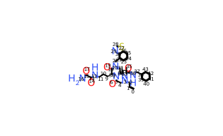 C=CCN1CC(=O)N2[C@@H](CCCNC(=O)C(N)=O)C(=O)N(Cc3cccc4scnc34)C[C@@H]2N1C(=O)NCc1ccccc1